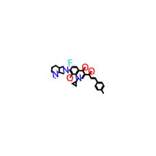 COc1c(N2CC3CCCN(C)C3C2)c(F)cc2c(=O)c(C(=O)C=Cc3ccc(C)cc3)cn(C3CC3)c12